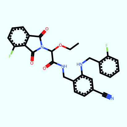 CCOC(C(=O)NCc1ccc(C#N)cc1NCc1ccccc1F)N1C(=O)c2cccc(F)c2C1=O